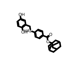 O=C(OC12CC3CC(CC(C3)C1)C2)c1ccc([AsH]Cc2cc(O)ccc2O)cc1